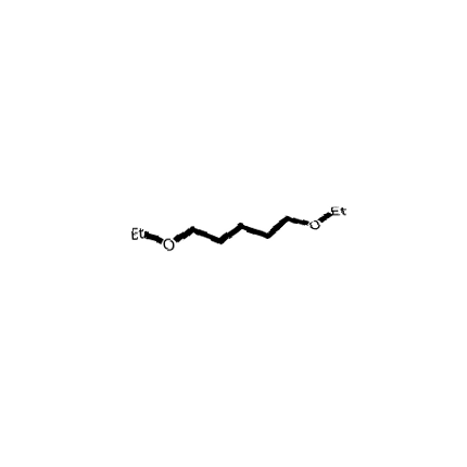 CCOCCCCCOCC